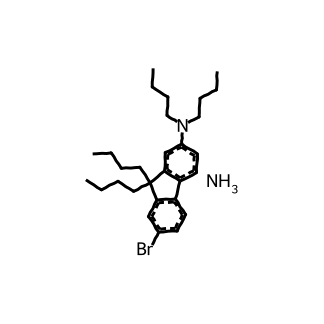 CCCCN(CCCC)c1ccc2c(c1)C(CCCC)(CCCC)c1cc(Br)ccc1-2.N